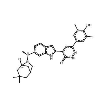 Cc1cc(-c2cc(-c3cc4ccc([C@H](C)N5CC6C[C@@H]5CC(C)(C)C6)cc4[nH]3)c(=O)[nH]n2)cc(C)c1O